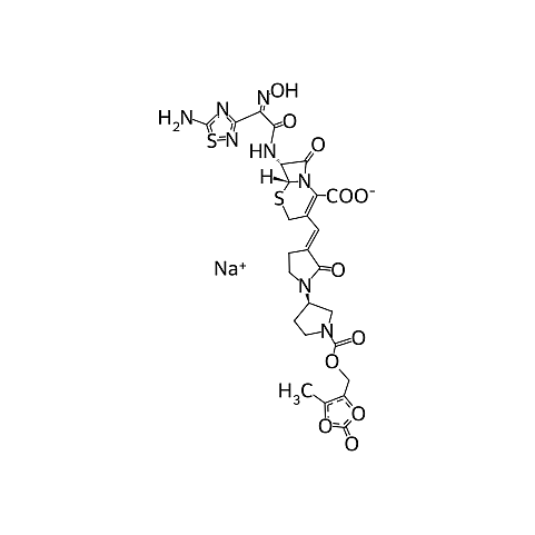 Cc1oc(=O)oc1COC(=O)N1CC[C@@H](N2CC/C(=C\C3=C(C(=O)[O-])N4C(=O)[C@@H](NC(=O)/C(=N\O)c5nsc(N)n5)[C@H]4SC3)C2=O)C1.[Na+]